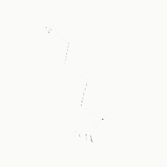 CC(C)(CCCCC#N)[N+](=O)[O-]